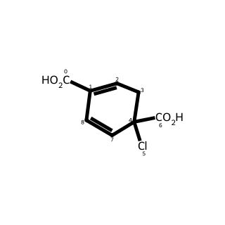 O=C(O)C1=CCC(Cl)(C(=O)O)C=C1